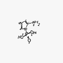 Nc1cncn1P(=O)(O)O